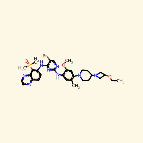 CCOC1CN(C2CCN(c3cc(OC)c(Nc4ncc(Br)c(Nc5ccc6nccnc6c5P(C)(C)=O)n4)cc3C)CC2)C1